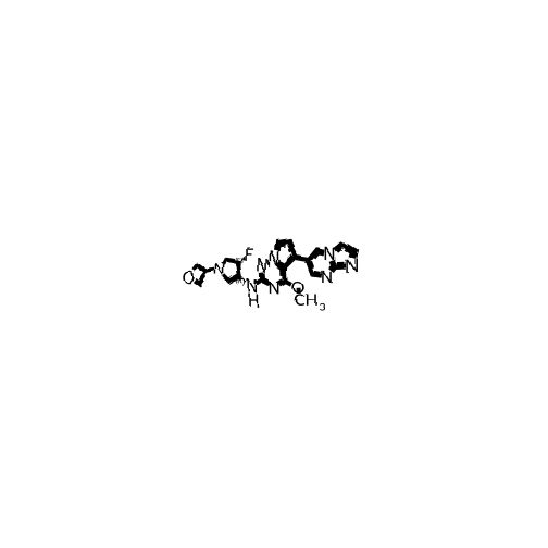 COc1nc(N[C@@H]2CN(C3COC3)C[C@@H]2F)nn2ccc(-c3cnc4nccn4c3)c12